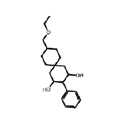 CCOCC1CCC2(CC1)CC(O)C(c1ccccc1)C(O)C2